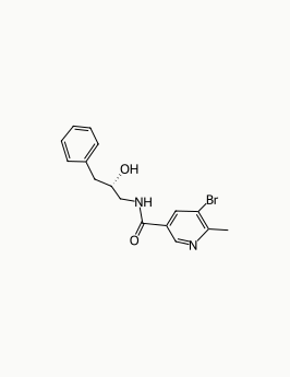 Cc1ncc(C(=O)NC[C@@H](O)Cc2ccccc2)cc1Br